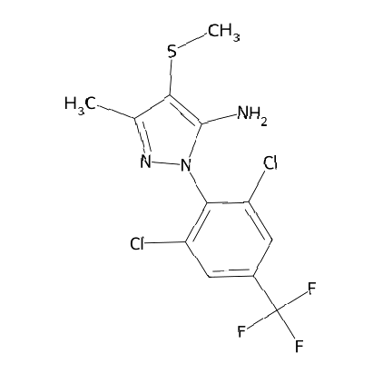 CSc1c(C)nn(-c2c(Cl)cc(C(F)(F)F)cc2Cl)c1N